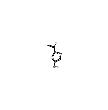 COn1ccc(C(N)=O)n1